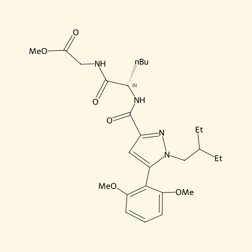 CCCC[C@H](NC(=O)c1cc(-c2c(OC)cccc2OC)n(CC(CC)CC)n1)C(=O)NCC(=O)OC